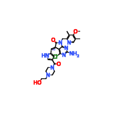 COc1c(C)cnc(CN2C(=O)/C(=C/c3cc(C(=O)N4CCN(CCO)CC4)c[nH]3)c3c(Cl)nc(N)nc32)c1C